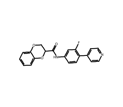 O=C(Nc1ccc(-c2ccncc2)c(F)c1)C1COc2ccccc2O1